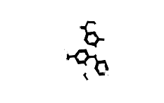 CCOc1cc(C(N)=O)ccc1C(Oc1ccc2c(c1C)OCCC2=O)c1ccncc1